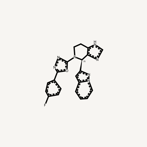 Fc1ccc(-c2nnc(N3CCc4[nH]cnc4[C@H]3c3cc4ccccn4n3)o2)cc1